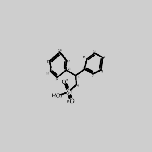 O=S(=O)(O)CC(c1ccccc1)c1ccccc1